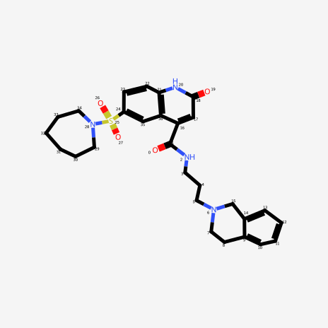 O=C(NCCCN1CCc2ccccc2C1)c1cc(=O)[nH]c2ccc(S(=O)(=O)N3CCCCCC3)cc12